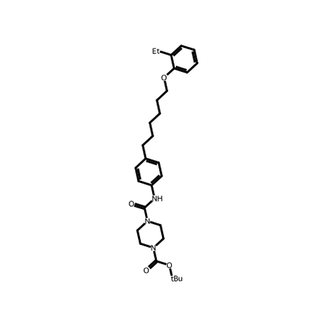 CCc1ccccc1OCCCCCCc1ccc(NC(=O)N2CCN(C(=O)OC(C)(C)C)CC2)cc1